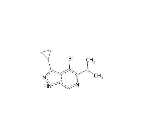 CC(C)c1ncc2[nH]nc(C3CC3)c2c1Br